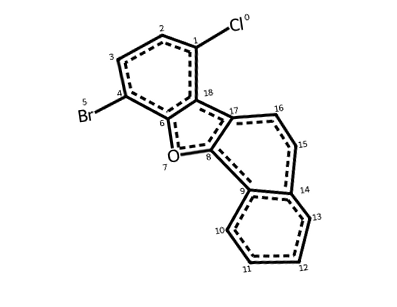 Clc1ccc(Br)c2oc3c4ccccc4ccc3c12